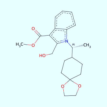 COC(=O)c1c(CO)n([C@H](C)C2CCC3(CC2)OCCO3)c2ccccc12